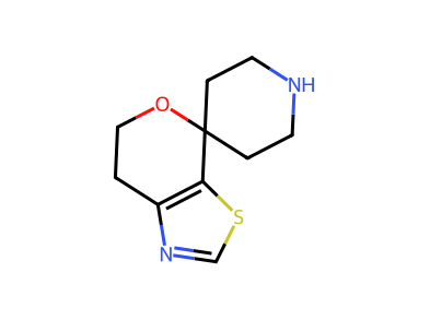 c1nc2c(s1)C1(CCNCC1)OCC2